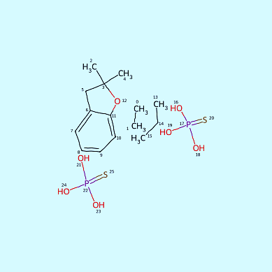 CC.CC1(C)Cc2ccccc2O1.CCC.OP(O)(O)=S.OP(O)(O)=S